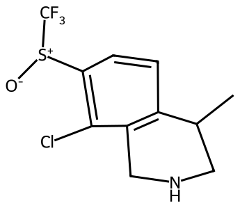 CC1CNCc2c1ccc([S+]([O-])C(F)(F)F)c2Cl